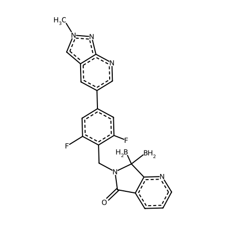 BC1(B)c2ncccc2C(=O)N1Cc1c(F)cc(-c2cnc3nn(C)cc3c2)cc1F